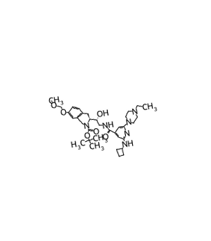 CCN1CCN(c2cc(C(=O)NC[C@@H](O)[C@@H]3Cc4ccc(OCOC)cc4CN3C(=O)OC(C)(C)C)cc(NC3CCC3)n2)CC1